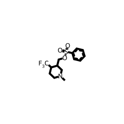 CN1CCC(C(F)(F)F)C(COS(=O)(=O)c2ccccc2)C1